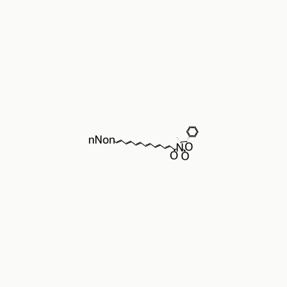 CCCCCCCCCC=CC=CC=CC=CC=CC=CC(=O)N1C(=O)O[C@@H](c2ccccc2)[C@H]1C